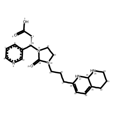 O=C(O)C[C@@H](c1cccnc1)N1CCN(CCCC2=CC=C3CCCNC3N2)C1=O